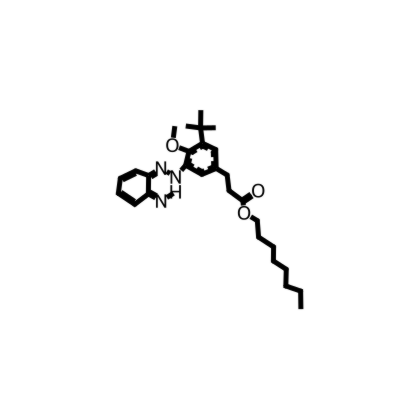 CCCCCCCCOC(=O)CCc1cc(N/N=C2/C=CC=C/C2=N/C)c(OC)c(C(C)(C)C)c1